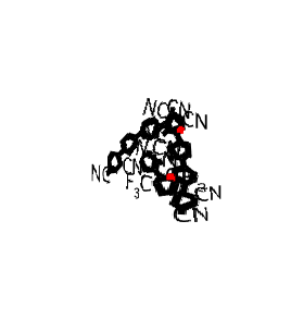 N#Cc1ccc(-c2ccc3c4ccc(-c5ccc(C#N)cc5C#N)cc4n(-c4ccc(-c5c(C(F)(F)F)cccc5C(F)(F)F)c(-n5c6cc(-c7ccc(C#N)cc7C#N)ccc6c6ccc(-c7ccc(C#N)cc7C#N)cc65)c4C#N)c3c2)c(C#N)c1